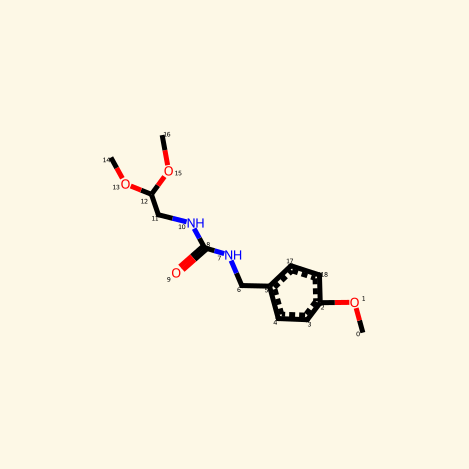 COc1ccc(CNC(=O)NCC(OC)OC)cc1